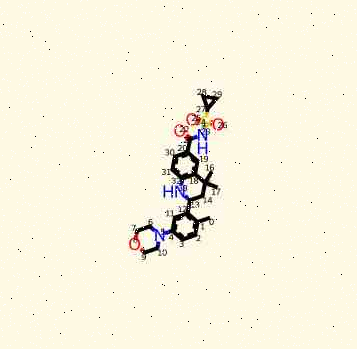 Cc1ccc(N2CCOCC2)cc1C1CC(C)(C)c2cc(C(=O)NS(=O)(=O)C3CC3)ccc2N1